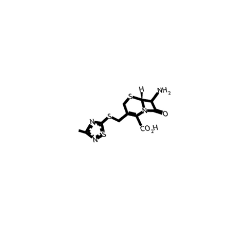 Cc1nsc(SCC2=C(C(=O)O)N3C(=O)C(N)[C@H]3SC2)n1